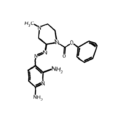 CN1CCN(C(=O)Oc2ccccc2)C(N=Nc2ccc(N)nc2N)C1